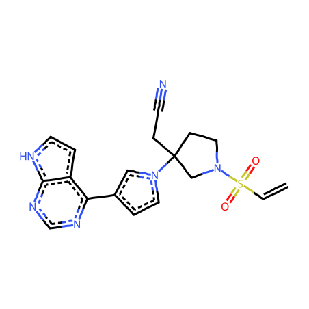 C=CS(=O)(=O)N1CCC(CC#N)(n2ccc(-c3ncnc4[nH]ccc34)c2)C1